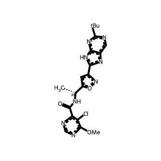 COc1ncnc(C(=O)N[C@H](C)c2cc(-c3nc4cnc(C(C)(C)C)nc4[nH]3)no2)c1Cl